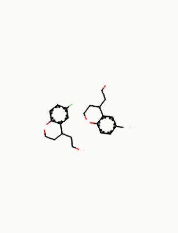 COc1ccc2c(c1)C(CCO)CCO2.OCCC1CCOc2ccc(F)cc21